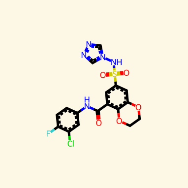 O=C(Nc1ccc(F)c(Cl)c1)c1cc(S(=O)(=O)Nn2cnnc2)cc2c1OCCO2